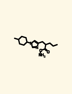 CCCC(Cc1cn(C2CCC(C)CC2)cn1)C(=O)ON